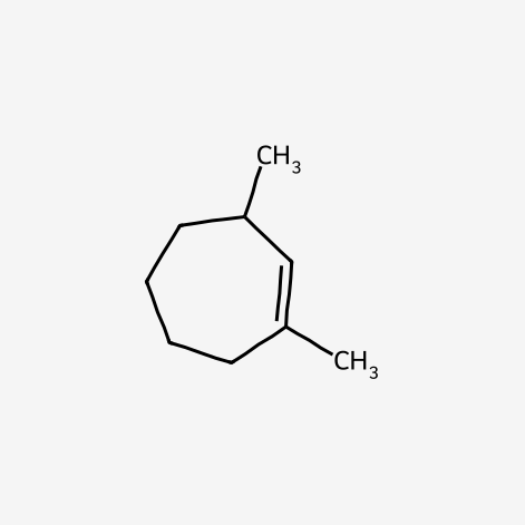 CC1=CC(C)CCCC1